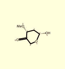 CO[C@@H]1C[C@H](O)OCC1=O